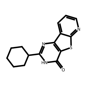 O=c1[nH]c(C2CCCCC2)nc2c1sc1ncccc12